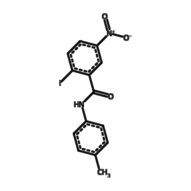 Cc1ccc(NC(=O)c2cc([N+](=O)[O-])ccc2I)cc1